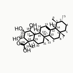 C[C@H]1[C@H](C)CC[C@]2(C)CC[C@]3(C)C(=CC[C@@H]4[C@@]5(C)[C@H](O)[C@H](O)[C@H](O)[C@@](C)(C(=O)O)[C@@H]5CC[C@]43C)[C@H]12